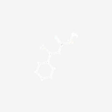 CNC(=O)CC(N)C1CCCCC1